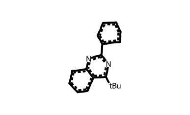 CC(C)(C)c1nc(-c2ccccc2)nc2ccccc12